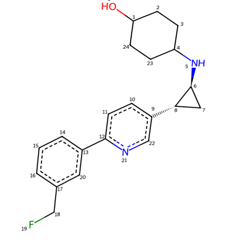 OC1CCC(N[C@H]2C[C@@H]2c2ccc(-c3cccc(CF)c3)nc2)CC1